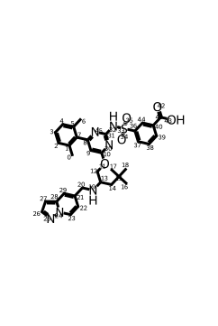 Cc1cccc(C)c1-c1cc(OCC(CC(C)(C)C)NCc2ccn3nccc3c2)nc(NS(=O)(=O)c2cccc(C(=O)O)c2)n1